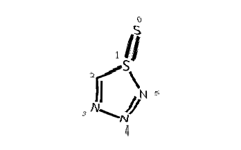 S=S1C=NN=N1